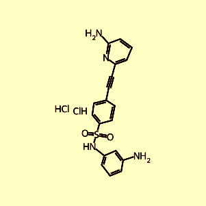 Cl.Cl.Nc1cccc(NS(=O)(=O)c2ccc(C#Cc3cccc(N)n3)cc2)c1